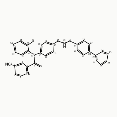 C=C(c1cc(C#N)ccn1)N(c1ccc(CNCc2ccc(-c3ccccc3)cc2)cc1)c1ccccc1C